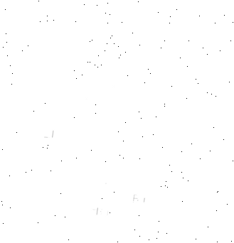 CC(C)(C)C1(C(C)(C)C)C=CC2=C([CH]c3ccccc32)C1.[LiH]